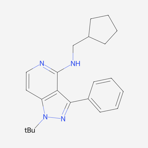 CC(C)(C)n1nc(-c2ccccc2)c2c(NCC3CCCC3)nccc21